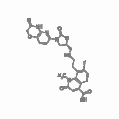 Cn1c(=O)cc(C(=O)O)c2ccc(F)c(CCNC[C@H]3CN(c4ccc5c(n4)NC(=O)CO5)C(=O)O3)c21